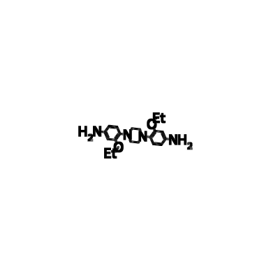 CCOc1cc(N)ccc1N1CCN(c2ccc(N)cc2OCC)CC1